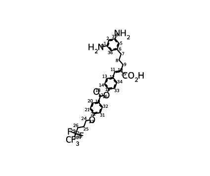 Nc1cc(N)cc(CCCC(=Cc2ccc(OC(=O)c3ccc(OCCCC(F)(F)C(F)(F)F)cc3)cc2)C(=O)O)c1